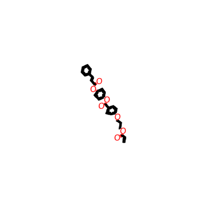 C=CC(=O)OCCCOc1ccc(C(=O)Oc2ccc(OC(=O)/C=C/c3ccccc3)cc2)cc1